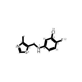 Cc1ncsc1CNc1ccc(F)c(Cl)c1